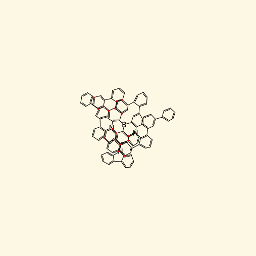 c1ccc(-c2cccc(-c3cccc(-c4cccc(-c5ccccc5)c4)c3N3c4ccc(-c5ccccc5-c5ccccc5)cc4B4c5cc(-c6ccccc6-c6ccccc6)ccc5N(c5c(-c6cccc(-c7ccccc7)c6)cccc5-c5cccc(-c6ccccc6)c5)c5cc(-n6c7ccccc7c7ccccc76)cc3c54)c2)cc1